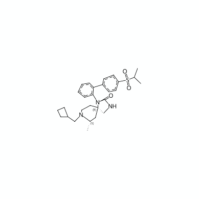 CC(C)S(=O)(=O)c1ccc(-c2ccccc2N2C(=O)NC[C@]23CCN(CC2CCC2)[C@@H](C)C3)cc1